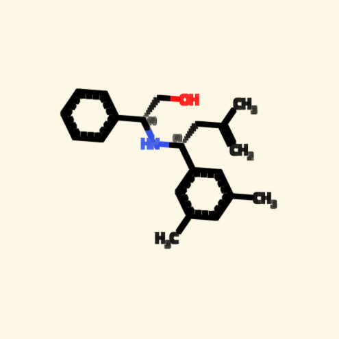 C=C(C)C[C@@H](N[C@@H](CO)c1ccccc1)c1cc(C)cc(C)c1